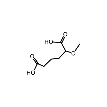 COC(CCCC(=O)O)C(=O)O